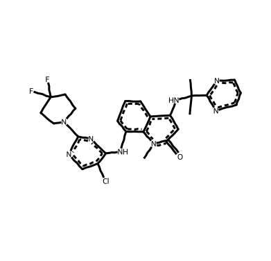 Cn1c(=O)cc(NC(C)(C)c2ncccn2)c2cccc(Nc3nc(N4CCC(F)(F)CC4)ncc3Cl)c21